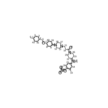 Cc1ccc(COc2ccc(N3CCN(CCC(=O)N4CCC(Nc5ccc(O[N+](=O)[O-])c(C)c5)CC4)CC3)cc2)cc1